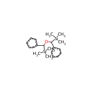 C[Si](C)(C)C(OC(c1ccccc1)[Si](C)(C)C)c1ccccc1